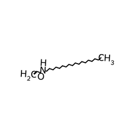 C=CC(=O)NCCCCCCCCCCCCCCCCCC